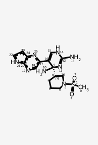 CS(=O)(=O)N1CCC[C@H](C2(N)N=C(N)NC=C2c2cnc3[nH]ccc3n2)C1